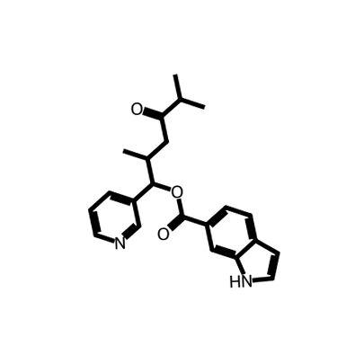 CC(C)C(=O)CC(C)C(OC(=O)c1ccc2cc[nH]c2c1)c1cccnc1